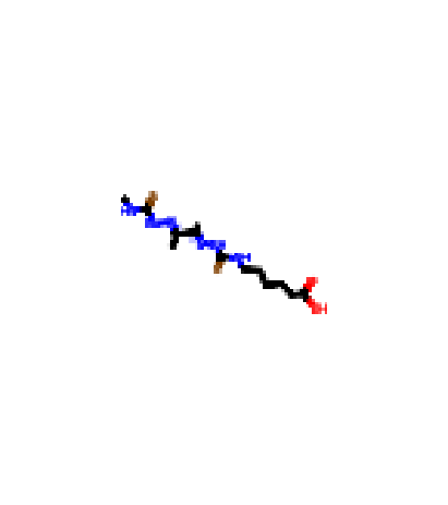 CNC(=S)N/N=C(C)/C(C)=N/NC(=S)NCCCCCC(=O)O